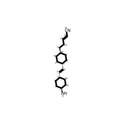 CCC[C@H]1CC[C@H](C=C[C@H]2CC[C@H](CCC=CC#N)CC2)CC1